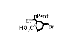 CCCCCC(CC)C1CC(CBr)CCN1C(=O)O